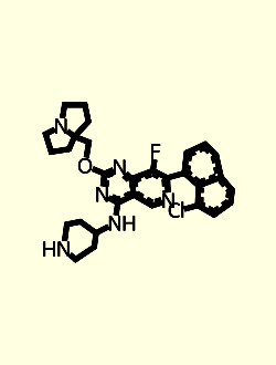 Fc1c(-c2cccc3cccc(Cl)c23)ncc2c(NC3CCNCC3)nc(OCC34CCCN3CCC4)nc12